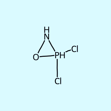 Cl[PH]1(Cl)NO1